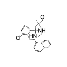 CC(C)(C=O)CC1(c2cccc(Cl)c2CCc2cccc3ccccc23)NCCN1